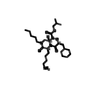 CCCCCN1C[C@@H]2N(C(=O)OCC(C)C)O[C@@H](CC3CCCCC3)C(=O)N2[C@@H](CCCCN)C1=O